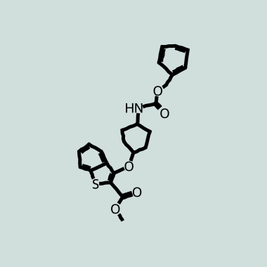 COC(=O)c1sc2ccccc2c1OC1CCC(NC(=O)OCc2ccccc2)CC1